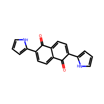 O=C1C2=CC=C(c3ccc[nH]3)C(=O)C2=CC=C1c1ccc[nH]1